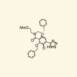 COCCN1C[C@H](Cc2ccccc2)n2cc(-c3nnn[nH]3)c(=O)c(OCc3ccccc3)c2C1=O